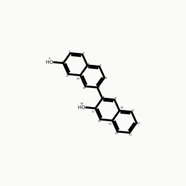 Oc1ccc2ccc(-c3cc4ccccc4cc3O)cc2c1